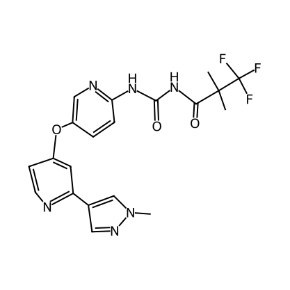 Cn1cc(-c2cc(Oc3ccc(NC(=O)NC(=O)C(C)(C)C(F)(F)F)nc3)ccn2)cn1